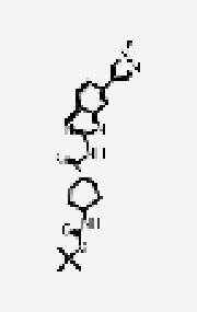 Cn1cc(-c2ccc3cnc(NC(=O)[C@H]4CC[C@H](NC(=O)OC(C)(C)C)CC4)nc3c2)cn1